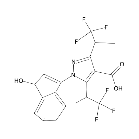 CC(c1nn(C2=CC(O)c3ccccc32)c(C(C)C(F)(F)F)c1C(=O)O)C(F)(F)F